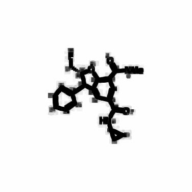 CNC(=O)c1cc(C(=O)NC2CC2)cc2c1O[C@@H](CF)C2c1ccccc1